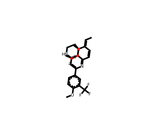 C\C=C(/C=C\C(=N\C(=C/C(C)=O)c1ccc(OC)c(C(F)(F)F)c1)C(C)CC)N1CCN[C@@H](C)C1